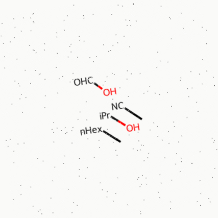 CC#N.CC(C)O.CCCCCCC.O=CO